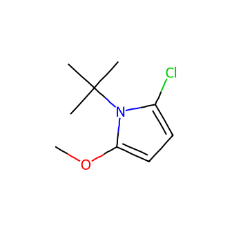 COc1ccc(Cl)n1C(C)(C)C